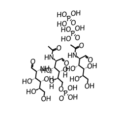 CC(=O)N[C@@H](C=O)[C@@H](O)[C@H](O)[C@H](O)CO.CC(=O)N[C@@H](C=O)[C@@H](O)[C@H](O)[C@H](O)COP(=O)(O)O.N[C@@H](C=O)[C@@H](O)[C@H](O)[C@H](O)CO.O=P(O)(O)O.O=P(O)(O)O